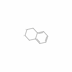 [C]1[C]Cc2ccccc2C1